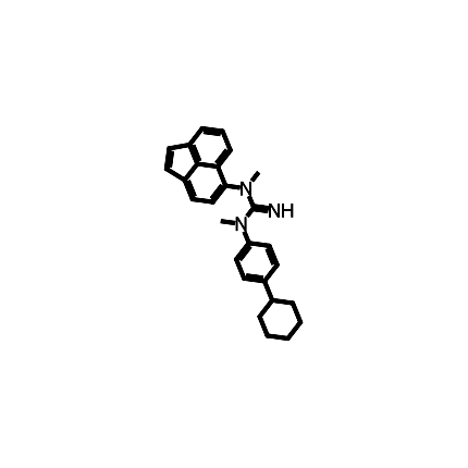 CN(C(=N)N(C)c1ccc2c3c(cccc13)C=C2)c1ccc(C2CCCCC2)cc1